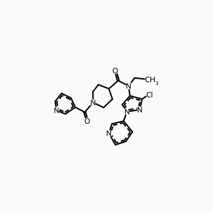 CCN(C(=O)C1CCN(C(=O)c2cccnc2)CC1)c1cn(-c2cccnc2)nc1Cl